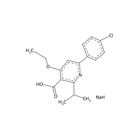 CCOc1cc(-c2ccc(Cl)cc2)nc(C(C)C)c1C(=O)O.[NaH]